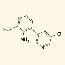 Nc1nccc(-c2cncc(Cl)c2)c1N